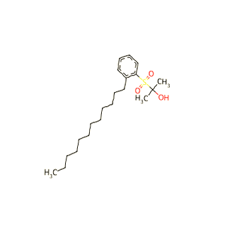 CCCCCCCCCCCCc1ccccc1S(=O)(=O)C(C)(C)O